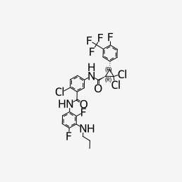 CCCNc1c(F)ccc(NC(=O)c2cc(NC(=O)[C@H]3[C@H](c4ccc(F)c(C(F)(F)F)c4)C3(Cl)Cl)ccc2Cl)c1F